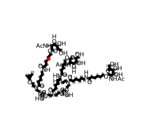 CC(=O)NC1C(OCCCCCC(=O)NCCCCCC(=O)N(CCO)CCOP(=O)(O)OCCN(CCOP(=O)(O)OCCN(CCOC2CC2C)C(=O)CCCCCNC(=O)CCCCCOC2OC(CO)C(O)C(O)C2NC(C)=O)C(=O)CCCCCNC(=O)CCCCCOC2OC(CO)C(O)C(O)C2NC(C)=O)OC(CO)C(O)C1O